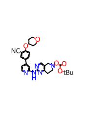 CC(C)(C)OC(=O)ON1CCc2nc(Nc3cc(-c4ccc(OC5CCOCC5)c(C#N)c4)ccn3)ncc2C1